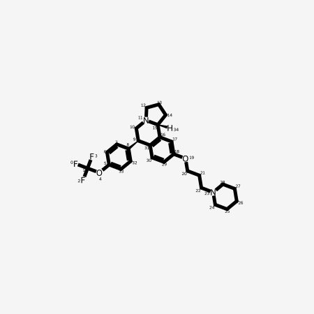 FC(F)(F)Oc1ccc([C@H]2CN3CCC[C@@H]3c3cc(OCCCN4CCCCC4)ccc32)cc1